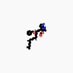 Cc1nc2c(c(C#C[C@@](C)(CCC[C@H](C)CCC[C@H](C)CCCC(C)C)OCc3ccccc3)c1OC=O)CCN2C